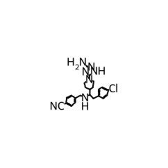 N#Cc1ccc(CNC(Cc2ccc(Cl)cc2)C2CCN(c3nc(N)n[nH]3)CC2)cc1